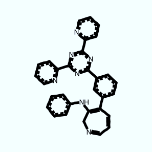 C1=CC(c2cccc(-c3nc(-c4ccccn4)nc(-c4ccccn4)n3)c2)=C(Nc2ccccc2)CN=C1